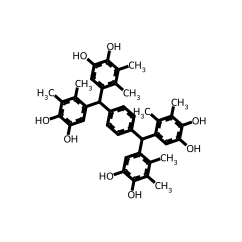 Cc1c(C(c2ccc(C(c3cc(O)c(O)c(C)c3C)c3cc(O)c(O)c(C)c3C)cc2)c2cc(O)c(O)c(C)c2C)cc(O)c(O)c1C